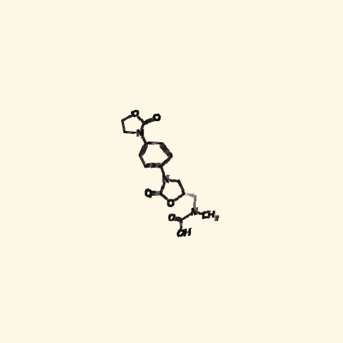 CN(C[C@H]1CN(c2ccc(N3CCOC3=O)cc2)C(=O)O1)C(=O)O